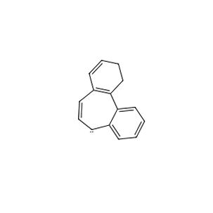 [C]1C=CC2=C(CCC=C2)c2ccccc21